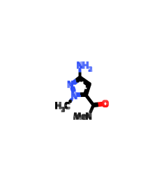 CNC(=O)c1cc(N)nn1C